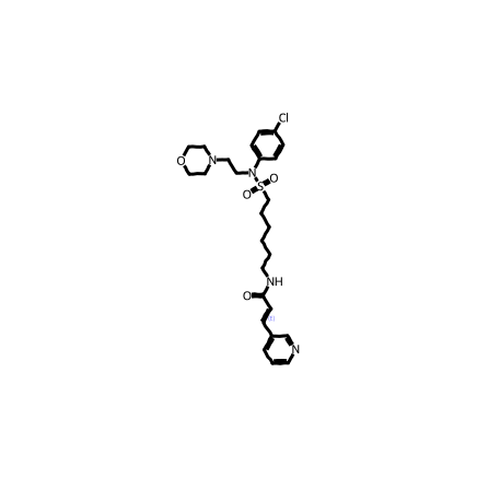 O=C(/C=C/c1cccnc1)NCCCCCCS(=O)(=O)N(CCN1CCOCC1)c1ccc(Cl)cc1